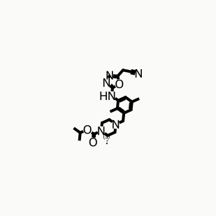 Cc1cc(CN2CCN(C(=O)OC(C)C)[C@@H](C)C2)c(C)c(Nc2nnc(CC#N)o2)c1